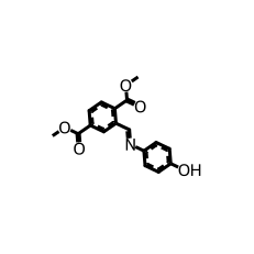 COC(=O)c1ccc(C(=O)OC)c(/C=N/c2ccc(O)cc2)c1